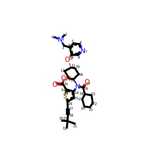 CN(C)Cc1ccncc1O[C@H]1CC[C@H](N(C(=O)C2CCCCC2)c2cc(C#CC(C)(C)C)sc2C(=O)O)CC1